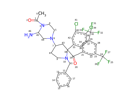 CC(=O)N1CCN(C2CCN(Cc3ccccc3)C(C(=O)c3cc(C(F)(F)F)cc(C(F)(F)F)c3)(c3ccc(Cl)c(Cl)c3)C2)CC1N